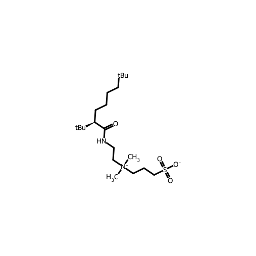 CC(C)(C)CCCC[C@@H](C(=O)NCC[N+](C)(C)CCCS(=O)(=O)[O-])C(C)(C)C